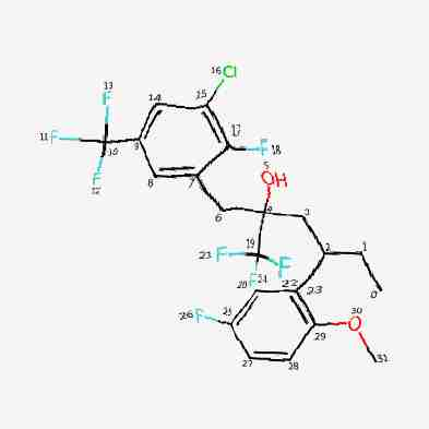 CCC(CC(O)(Cc1cc(C(F)(F)F)cc(Cl)c1F)C(F)(F)F)c1cc(F)ccc1OC